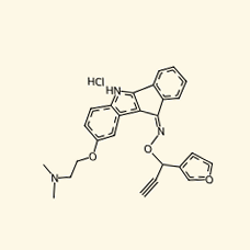 C#CC(ON=C1c2ccccc2-c2[nH]c3ccc(OCCN(C)C)cc3c21)c1ccoc1.Cl